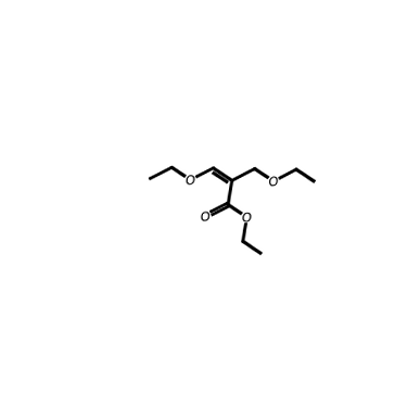 CCOC=C(COCC)C(=O)OCC